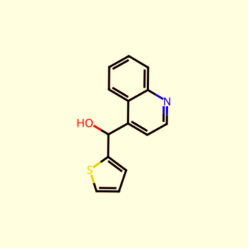 OC(c1cccs1)c1ccnc2ccccc12